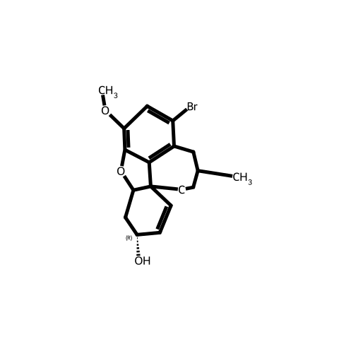 COc1cc(Br)c2c3c1OC1C[C@@H](O)C=CC31CCC(C)C2